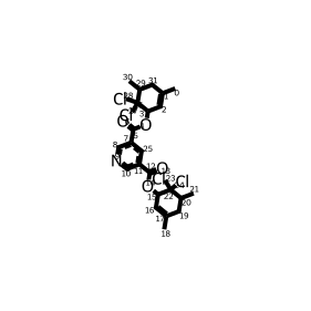 CC1=CC(OC(=O)c2cncc(C(=O)OC3C=C(C)CC(C)C3(Cl)Cl)c2)C(Cl)(Cl)C(C)C1